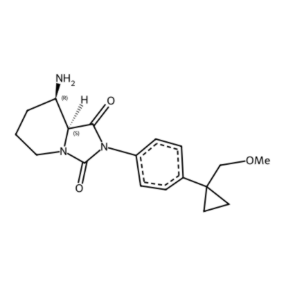 COCC1(c2ccc(N3C(=O)[C@@H]4[C@H](N)CCCN4C3=O)cc2)CC1